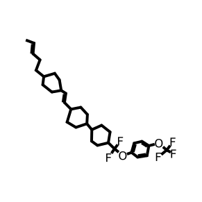 C/C=C/CCC1CCC(/C=C/C2CCC(C3CCC(C(F)(F)Oc4ccc(OC(F)(F)F)cc4)CC3)CC2)CC1